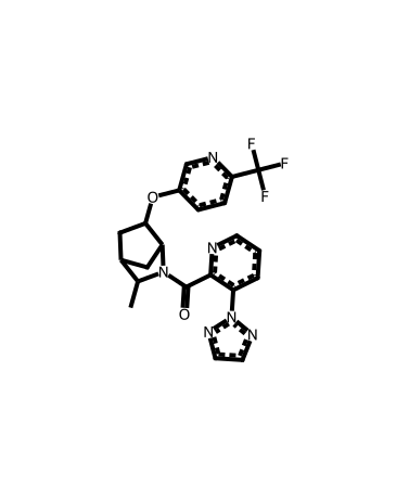 CC1C2CC(Oc3ccc(C(F)(F)F)nc3)C(C2)N1C(=O)c1ncccc1-n1nccn1